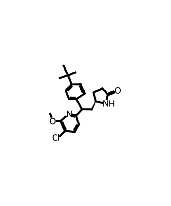 COc1nc(C(C[C@H]2CCC(=O)N2)c2ccc(C(C)(C)C)cc2)ccc1Cl